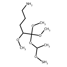 COC(CCCN)C(OC)(OC)OC(C)O[SiH3]